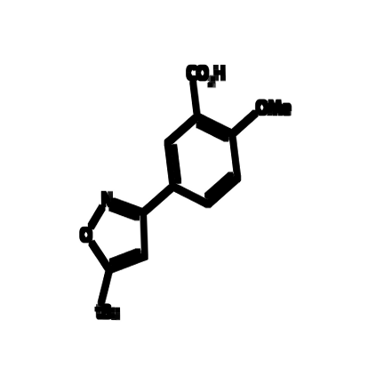 COc1ccc(-c2cc(C(C)(C)C)on2)cc1C(=O)O